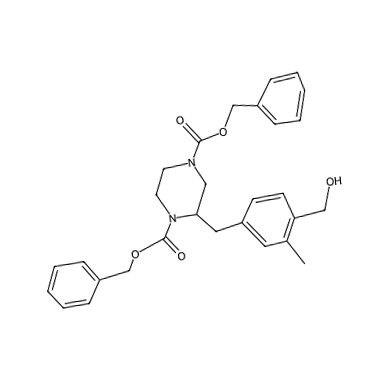 Cc1cc(CC2CN(C(=O)OCc3ccccc3)CCN2C(=O)OCc2ccccc2)ccc1CO